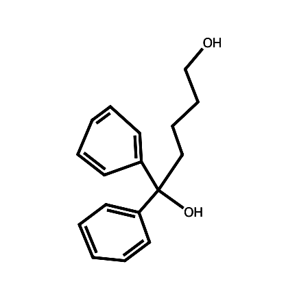 OCCCCC(O)(c1ccccc1)c1ccccc1